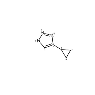 C1=C(C2CC2)N=N[N]1